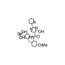 COc1ccc(Cc2cccc(P(=O)(O)O)c2)c(NC(=O)c2cnc(-c3ccccn3)nc2O)c1